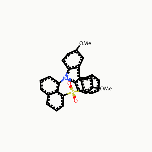 COc1ccc2c(c1)c1cc(OC)ccc1n2-c1cccc2cccc(S(=O)(=O)c3ccccc3)c12